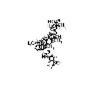 C=C(C)[C@@H]1CCC2[C@@H](CC(=O)N[C@@H]3CC[C@@H](N(C)C)C3)C[C@]3(C)[C@H](CC[C@@H]4[C@@]5(C)CC[C@H](OC(=O)CC(C)(C)C(=O)O)C(C)(C)[C@@H]5CC[C@]43C)[C@H]21